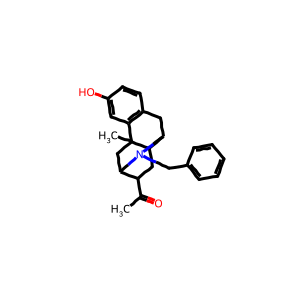 CC(=O)C1CC2C3Cc4ccc(O)cc4C2(C)CC1N3Cc1ccccc1